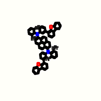 CCCc1cccc(CCC)c1N(c1cccc(-c2cccc3c2oc2ccccc23)c1)c1ccc2ccc3c(N(c4cccc(-c5cccc6c5oc5ccccc56)c4)c4c(CCC)cccc4CCC)ccc4ccc1c2c43